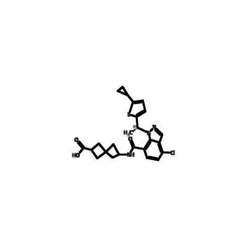 C[C@H](c1ccc(C2CC2)s1)n1ncc2c(Cl)ccc(C(=O)NC3CC4(C3)CC(C(=O)O)C4)c21